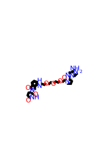 Nc1nccn2c([C@@H]3CCCN3C(=O)COCCOCCOCCNc3cccc4c3CN(C3CCC(=O)NC3=O)C4=O)ncc12